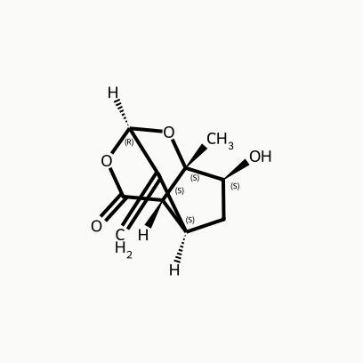 C=C1[C@H]2OC(=O)[C@H]3[C@@H]1C[C@H](O)[C@@]3(C)O2